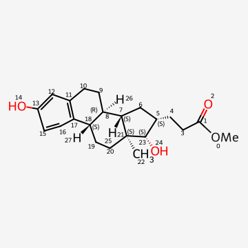 COC(=O)CC[C@H]1C[C@H]2[C@@H]3CCc4cc(O)ccc4[C@H]3CC[C@]2(C)[C@H]1O